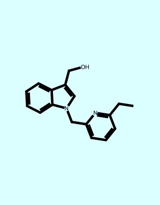 CCc1cccc(Cn2cc(CO)c3ccccc32)n1